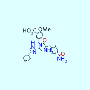 COc1ccc(CN(C(=O)C(N)Cc2c(C)cc(C(N)=O)cc2C)C(C)C2=NC(c3ccccc3)CN2)cc1C(=O)O